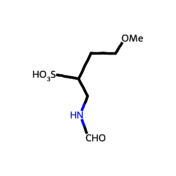 COCCC(CNC=O)S(=O)(=O)O